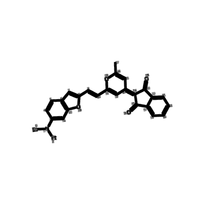 CCN(CC)c1ccc2cc(C=CC3=CC(=C4C(=O)c5ccccc5C4=O)C=C(C)O3)oc2c1